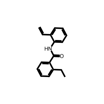 C=Cc1ccccc1NC(=O)c1ccccc1CC